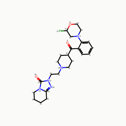 O=C(c1ccccc1N1CCOC(F)C1)C1CCN(CCn2nc3n(c2=O)CCCC3)CC1